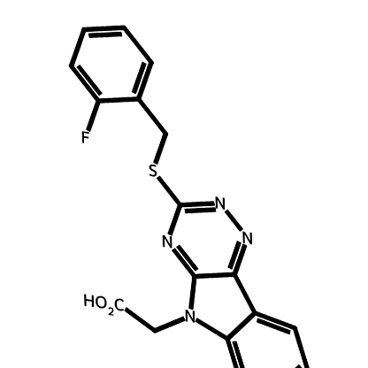 O=C(O)Cn1c2ccccc2c2nnc(SCc3ccccc3F)nc21